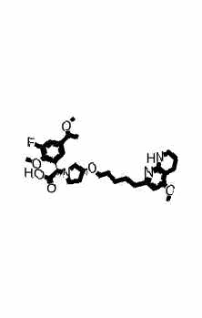 COc1cc(CCCCCO[C@@H]2CCN([C@H](C(=O)O)c3cc(C(C)OC)cc(F)c3OC)C2)nc2c1CCCN2